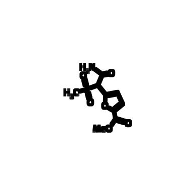 COC(=O)c1ccc(C(C(N)=O)S(C)(=O)=O)o1